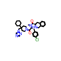 CN(C(=O)[C@H]1Cc2ccccc2CN1)[C@H](Cc1ccc(Cl)cc1)C(=O)N1CCC(Cn2cncn2)(C2CCCCC2)CC1